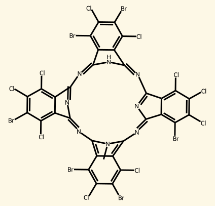 Cn1c2nc3nc(nc4[nH]c(nc5nc(nc1c1c(Br)c(Cl)c(Br)c(Cl)c12)-c1c(Cl)c(Br)c(Cl)c(Cl)c1-5)c1c(Br)c(Cl)c(Br)c(Cl)c41)-c1c(Cl)c(Cl)c(Cl)c(Br)c1-3